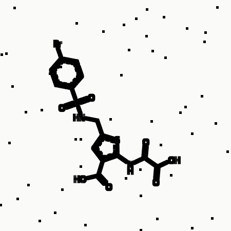 O=C(O)C(=O)Nc1sc(CNS(=O)(=O)c2ccc(Br)cc2)cc1C(=O)O